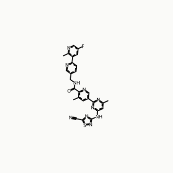 Cc1cc(Nc2nsc(C#N)n2)nc(-c2cnc(C(=O)NCc3ccc(-c4cc(F)cnc4C)nc3)c(C)c2)n1